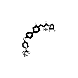 CC(C)OC(=O)N1CCC(Oc2ccc(-c3ccc(C[C@H](N)C(=O)N4CC[C@H](F)C4)c(F)c3)cc2)CC1